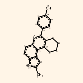 Cc1cc2c(ccc3nc(-c4ccc(O)cc4)c4c(c32)CCCC4)[nH]1